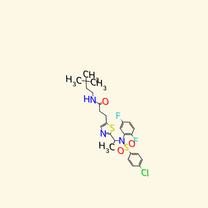 CC(c1ncc(CCC(=O)NCCC(C)(C)C)s1)N(c1cc(F)ccc1F)S(=O)(=O)c1ccc(Cl)cc1